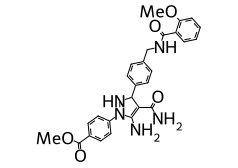 COC(=O)c1ccc(N2NC(c3ccc(CNC(=O)c4ccccc4OC)cc3)C(C(N)=O)=C2N)cc1